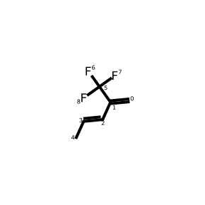 C=C(/C=C/C)C(F)(F)F